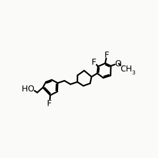 COc1ccc(C2CCC(CCc3ccc(CO)c(F)c3)CC2)c(F)c1F